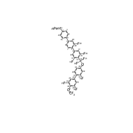 CCCCCc1ccc(-c2ccc(-c3cc(F)c(C(F)(F)Oc4ccc(-c5cc(F)c(OC(F)(F)F)c(F)c5)c(F)c4)c(F)c3)c(F)c2)cc1